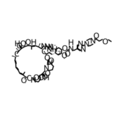 CCOCCC(=O)N1CCN(c2ncc(CNC(=O)O[C@@H]3CC[C@@H](C[C@@H](N)[C@@H]4CC(N=[N+]=[N-])[C@H](C)/C=C(\C)[C@@H](O)[C@@H](O)C(=O)[C@H](C)C[C@H](C)/C=C/C=C/C=C(\C)[C@@H](OC)C[C@@H]5CC[C@@H](C)[C@@](O)(O5)C(=O)C(=O)N5CCCC[C@H]5C(=O)O4)C[C@H]3OC)cn2)CC1